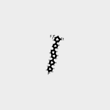 CCc1cc(-c2ccc(-c3ccc4cc(-c5ccc(-c6ccc(F)cc6)cc5)ccc4c3)cc2)cc(C(F)(F)F)c1